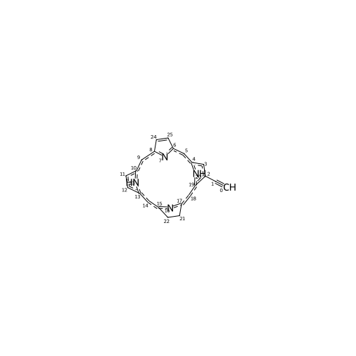 C#Cc1cc2cc3nc(cc4ccc(cc5nc(cc1[nH]2)CC5)[nH]4)C=C3